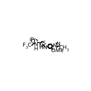 COc1cc(Nc2nc([C@H](CC(C)C)NC(=O)CC(F)(F)F)cs2)ccc1-n1cnc(C)c1